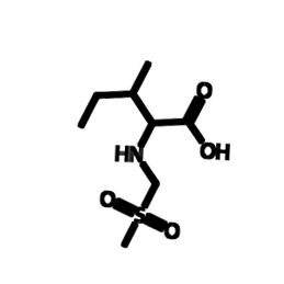 CCC(C)C(NCS(C)(=O)=O)C(=O)O